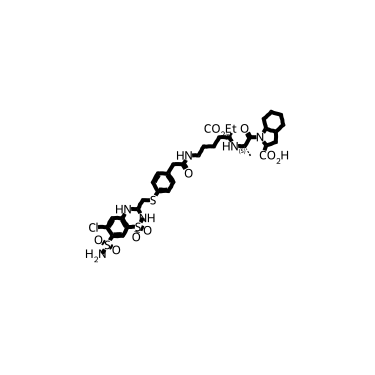 CCOC(=O)[C@H](CCCCNC(=O)Cc1ccc(SCC2Nc3cc(Cl)c(S(N)(=O)=O)cc3S(=O)(=O)N2)cc1)N[C@@H](C)C(=O)N1C(C(=O)O)CC2CCCCC21